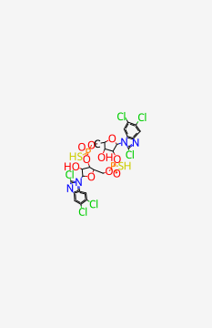 O=P1(S)OCC2OC(n3c(Cl)nc4cc(Cl)c(Cl)cc43)C(OP(=O)(S)OCC3OC(n4c(Cl)nc5cc(Cl)c(Cl)cc54)C(O)C3O1)C2O